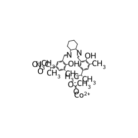 CC(=O)[O-].CC(=O)[O-].Cc1cc(C(C)C)cc(C=NC2CCCCC2N=Cc2cc(C(C)C)cc(C)c2O)c1O.[Co+2]